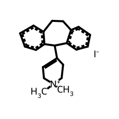 C[N+]1(C)CC=C(C2c3ccccc3CCc3ccccc32)CC1.[I-]